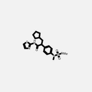 CNS(=O)(=O)N(C)c1ccc(C(CC2CCCC2)C(=O)Nc2nccs2)cc1